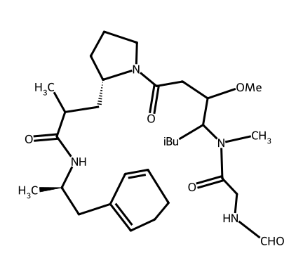 CCC(C)C(C(CC(=O)N1CCC[C@H]1CC(C)C(=O)N[C@H](C)CC1=CCCC=C1)OC)N(C)C(=O)CNC=O